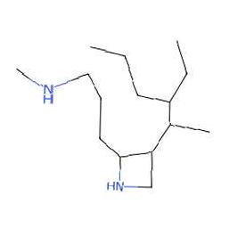 CCCC(CC)C(C)C1CNC1CCCNC